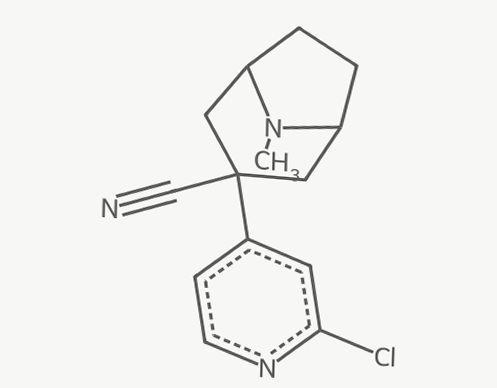 CN1C2CCC1CC(C#N)(c1ccnc(Cl)c1)C2